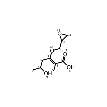 CC(C(=O)O)=C(CC(C)O)OCC1CO1